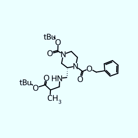 CC(CNC[C@@H]1CN(C(=O)OC(C)(C)C)CCN1C(=O)OCc1ccccc1)C(=O)OC(C)(C)C